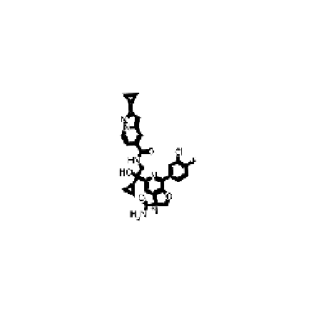 C[C@]1(C(N)=O)COc2c1cc(C(O)(CNC(=O)c1ccn3nc(C4CC4)cc3c1)C1CC1)nc2-c1ccc(F)c(Cl)c1